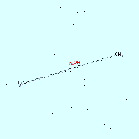 CCCCCCCC/C=C/CCCCCCCCCCCCC(CCCCCCCC/C=C/CCCCCCCC)C(=O)O